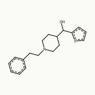 OC(c1cccs1)C1CCN(CCc2ccccc2)CC1